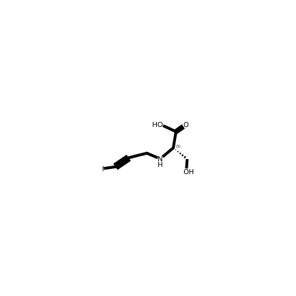 O=C(O)[C@H](CO)NCC#CI